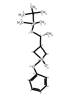 C[C@@H](O[Si](C)(C)C(C)(C)C)C1C[N+]([O-])(Oc2ccccc2)C1